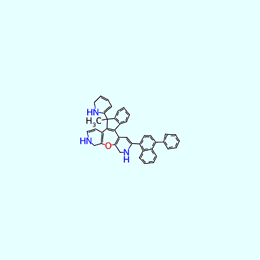 CC1(C2=CC=CCN2)C2=C(C3=C(CNC(c4ccc(-c5ccccc5)c5ccccc45)=C3)OC3=C2C=CNC3)c2ccccc21